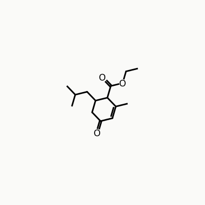 CCOC(=O)C1C(C)=CC(=O)CC1CC(C)C